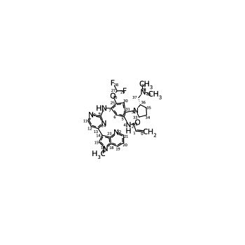 C=CC(=O)Nc1cc(Nc2nccc(-c3cn(C)c4cccnc34)n2)c(OC(F)F)cc1N1CCC[C@H]1CN(C)C